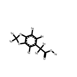 [2H]OC(=O)C([2H])([2H])c1c([2H])c([2H])c2c(c1[2H])OC([2H])([2H])O2